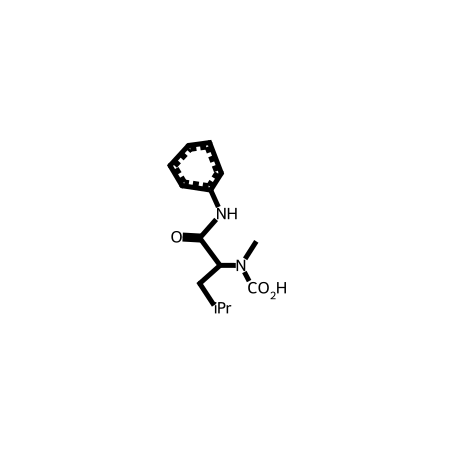 CC(C)CC(C(=O)Nc1ccccc1)N(C)C(=O)O